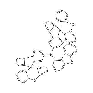 c1ccc2c(c1)Oc1ccccc1C21c2ccccc2-c2cc(N(c3ccc4c(c3)C3(c5ccccc5Sc5ccccc53)c3ccccc3-4)c3cccc4oc5ccccc5c34)ccc21